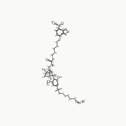 COc1cc(C(C)(C)CCCCCCN=[N+]=[N-])cc(OC)c1[C@H]1C=C(CNC(=O)CCCCCCOc2ccc([N+](=O)[O-])c3n[se]nc23)[C@H]2C[C@@H]1C2(C)C